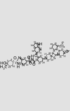 C[C@]1(O)CC[C@H](CNc2ncc(S(=O)(=O)NC(=O)c3ccc(N4CCC5(CC4)CC(N4CC[S+]([O-])C[C@H]4c4ccccc4C4CC4)C5)cc3Oc3cnc4[nH]ccc4c3)cc2[N+](=O)[O-])CC1